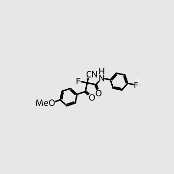 COc1ccc(C(=O)C(F)(C#N)C(=O)Nc2ccc(F)cc2)cc1